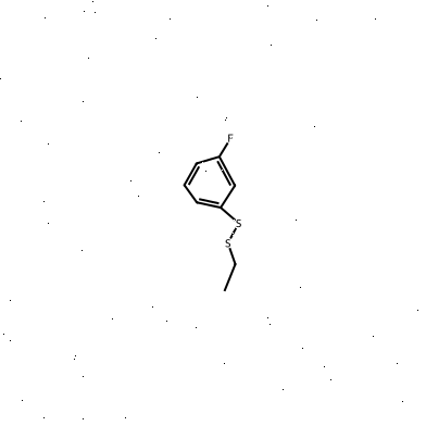 CCSSc1cccc(F)c1